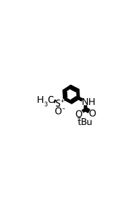 C[S+]([O-])c1cccc(NC(=O)OC(C)(C)C)c1